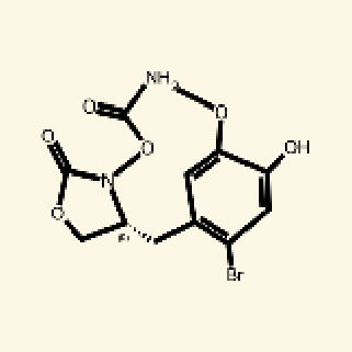 COc1cc(C[C@@H]2COC(=O)N2OC(N)=O)c(Br)cc1O